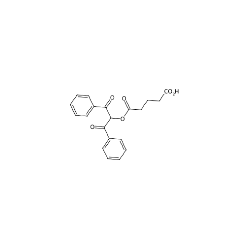 O=C(O)CCCC(=O)OC(C(=O)c1ccccc1)C(=O)c1ccccc1